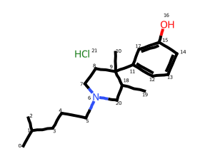 CC(C)CCCN1CCC(C)(c2cccc(O)c2)C(C)C1.Cl